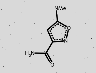 CNc1cc(C(N)=O)no1